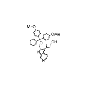 COc1ccc(C(OCc2nc3cncnc3n2C2CC(O)C2)(c2ccccc2)c2ccc(OC)cc2)cc1